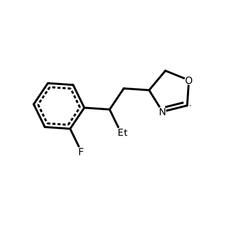 CCC(CC1CO[C]=N1)c1ccccc1F